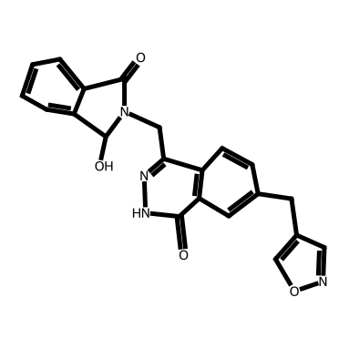 O=C1c2ccccc2C(O)N1Cc1n[nH]c(=O)c2cc(Cc3cnoc3)ccc12